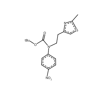 Cc1nc(CCN(C(=O)OC(C)(C)C)c2ccc([N+](=O)[O-])cc2)cs1